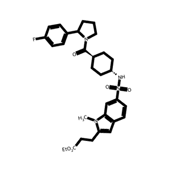 CCOC(=O)CCc1cc2ccc(S(=O)(=O)N[C@H]3CC[C@H](C(=O)N4CCCC4c4ccc(F)cc4)CC3)cc2n1C